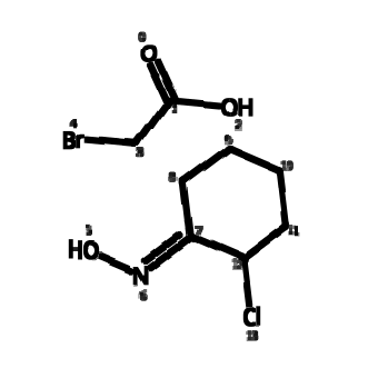 O=C(O)CBr.ON=C1CCCCC1Cl